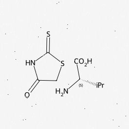 CC(C)[C@H](N)C(=O)O.O=C1CSC(=S)N1